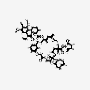 C=C(/C=C(\C)CC[C@@H](OC(=O)[C@@H]1CCCCN1C(=O)[C@@H](CC)c1cc(OC)c(C)c(OC)c1)c1cccc(OCC(=O)NCC(OC2CC/C=C/CCC2)C(C)(C)OCCC(C)(C)C(=O)ON2C(=O)CCC2=O)c1)OC